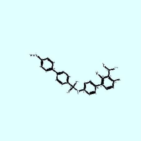 CCCCCc1ccc(-c2ccc(C(F)(F)Oc3ccc(-c4ccc(C)c(C(F)F)c4F)cc3)cc2)cc1